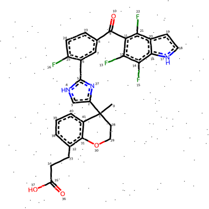 CC1(c2c[nH]c(-c3cc(C(=O)c4c(F)c(F)c5[nH]ccc5c4F)ccc3F)n2)CCOc2c(CCC(=O)O)cccc21